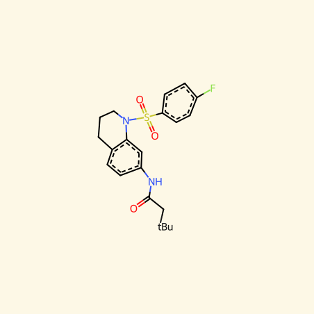 CC(C)(C)CC(=O)Nc1ccc2c(c1)N(S(=O)(=O)c1ccc(F)cc1)CCC2